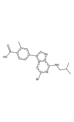 Cc1cc(-c2cnc3c(NCC(C)C)nc(Br)cn23)ccc1C(=O)O